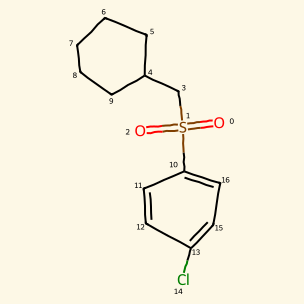 O=S(=O)(CC1CCCCC1)c1ccc(Cl)cc1